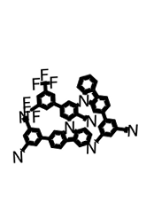 N#Cc1cc(C#N)cc(-c2ccc3c4ccccc4n(-c4cc(-c5cc(C(F)(F)F)cc(C(F)(F)F)c5)cc(-n5c6ccccc6c6ccc(-c7cc(C#N)cc(C#N)c7)cc65)c4C#N)c3c2)c1